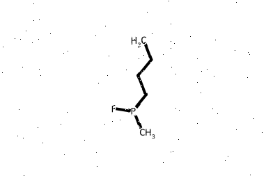 CCCCP(C)F